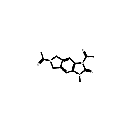 CC(=O)N1Cc2cc3c(cc2C1)n(C(C)=O)c(=O)n3C